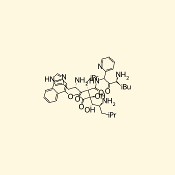 CC[C@H](C)[C@H](N)C(=O)C(NC(=O)[C@](CC(C)C)(C(=O)[C@@H](N)Cc1c[nH]cn1)[C@@](O)(C(=O)COc1cccc2ccccc12)[C@@H](O)[C@@H](N)CC(C)C)c1ccccn1